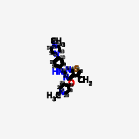 Cc1csc2nc(Nc3ccc(N4CCN(C)CC4)cc3)nc(OC3CCN(C)CC3)c12